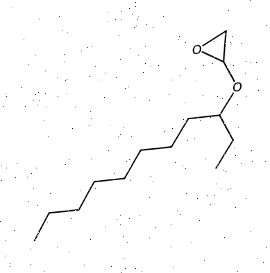 CCCCCCCCC(CC)OC1CO1